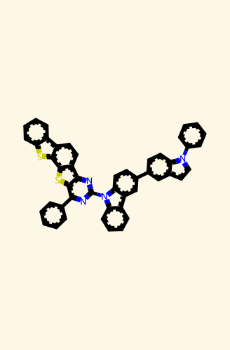 c1ccc(-c2nc(-n3c4ccccc4c4cc(-c5ccc6c(ccn6-c6ccccc6)c5)ccc43)nc3c2sc2c3ccc3c4ccccc4sc32)cc1